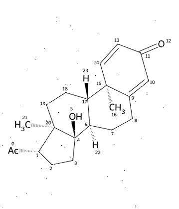 CC(=O)[C@H]1CC[C@@]2(O)[C@@H]3CCC4=CC(=O)C=C[C@]4(C)[C@H]3CC[C@]12C